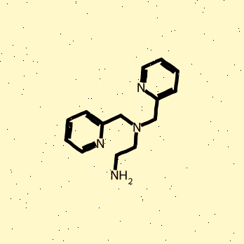 NCCN(Cc1ccccn1)Cc1ccccn1